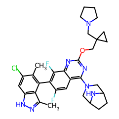 Cc1c(Cl)cc2[nH]nc(C)c2c1-c1c(F)cc2c(N3CC4CCC(C3)N4)nc(OCC3(CN4CCCC4)CC3)nc2c1F